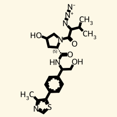 Cc1ncsc1-c1ccc(C(CO)NC(=O)[C@@H]2CC(O)CN2C(=O)C(N=[N+]=[N-])C(C)C)cc1